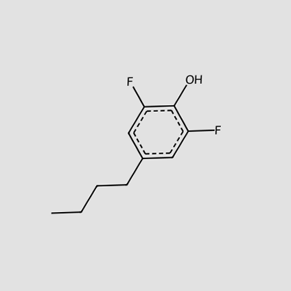 CCCCc1cc(F)c(O)c(F)c1